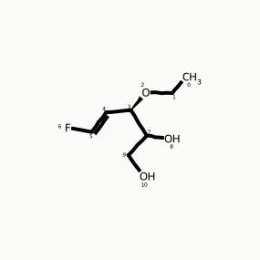 CCO[C@H](C=CF)C(O)CO